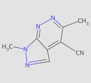 Cc1nnc2c(cnn2C)c1C#N